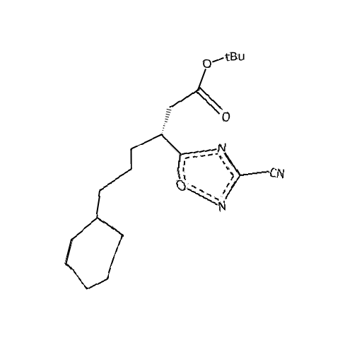 CC(C)(C)OC(=O)C[C@@H](CCCC1CCCCC1)c1nc(C#N)no1